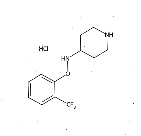 Cl.FC(F)(F)c1ccccc1ONC1CCNCC1